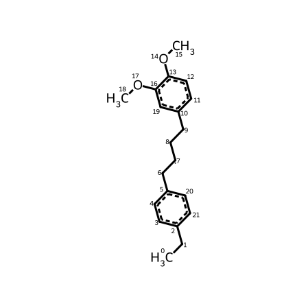 CCc1ccc(C[CH]CCc2ccc(OC)c(OC)c2)cc1